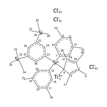 CC1=C(C)[C]([Ti+3])([Si](c2cc(C)cc(C)c2)(c2cc(C)cc(C)c2)c2cc([Si](C)(C)C)cc([Si](C)(C)C)c2)C(C)=C1C.[Cl-].[Cl-].[Cl-]